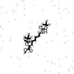 COC(=O)[C@H](CCCCCCNC(=O)OC(C)(C)C)O[Si](C)(C)C(C)(C)C